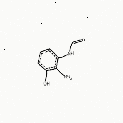 Nc1c(O)cccc1NC=O